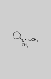 C=CCN(C)N1CCCCC1